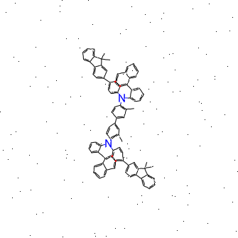 Cc1cc(-c2ccc(N(c3ccc(-c4ccc5c(c4)C(C)(C)c4ccccc4-5)cc3)c3ccccc3-c3cccc4ccccc34)c(C)c2)ccc1N(c1ccc(-c2ccc3c(c2)C(C)(C)c2ccccc2-3)cc1)c1ccccc1-c1cccc2ccccc12